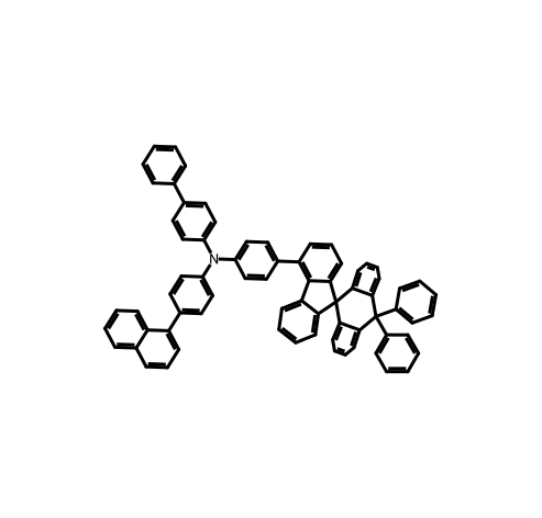 c1ccc(-c2ccc(N(c3ccc(-c4cccc5c4-c4ccccc4C54c5ccccc5C(c5ccccc5)(c5ccccc5)c5ccccc54)cc3)c3ccc(-c4cccc5ccccc45)cc3)cc2)cc1